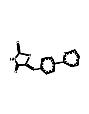 O=C1NC(=O)C(=Cc2ccc(-c3ccccn3)cc2)S1